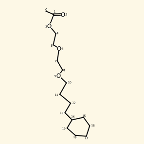 CC(=O)OCCOCCOCCCCC1CCCCC1